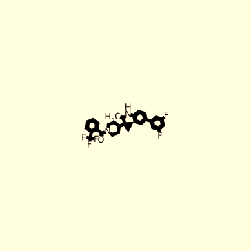 C=C(Nc1ccc(-c2cc(F)cc(F)c2)cc1)C1(C2CCN(C(=O)c3ccccc3C(F)(F)F)CC2)CC1